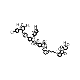 CC1(C)CCC(CN2CCN(c3ccc(C(=O)NS(=O)(=O)c4ccc(NCC5CCCN(CCCCSc6cccc7c6C(=O)N(C6CCC(=O)NC6=O)C7=O)C5)c([N+](=O)[O-])c4)c(Oc4cnc5[nH]ccc5c4)c3)CC2)=C(c2ccc(Cl)cc2)C1